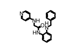 O=C(CNc1ccncc1)Nc1ccccc1NCc1ccccc1